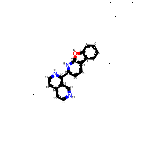 c1ccc2c(c1)oc1nc(-c3nccc4ccncc34)ccc12